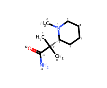 CN1CCCC[C@@H]1C(C)(C)C(N)=O